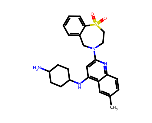 Cc1ccc2nc(N3CCS(=O)(=O)c4ccccc4C3)cc(NC3CCC(N)CC3)c2c1